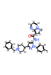 Cc1ccc(-n2nc(C3CCN(Cc4ccccc4)CC3)cc2NC(=O)c2cnn3cccnc23)cc1